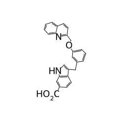 O=C(O)c1ccc2c(Cc3cccc(OCc4ccc5ccccc5n4)c3)c[nH]c2c1